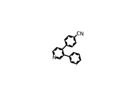 N#Cc1ccc(-c2ccncc2-c2c[c]ccc2)cc1